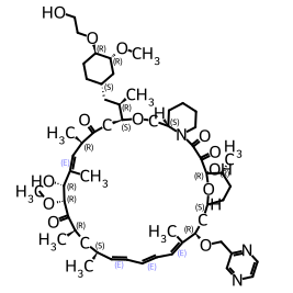 CO[C@@H]1C[C@H](C[C@@H](C)[C@@H]2CC(=O)[C@H](C)/C=C(\C)[C@@H](O)[C@@H](OC)C(=O)[C@H](C)C[C@H](C)/C=C/C=C/C=C(\C)[C@H](OCc3cnccn3)C[C@@H]3CC[C@@H](C)[C@@](O)(O3)C(=O)C(=O)N3CCCC[C@H]3CO2)CC[C@H]1OCCO